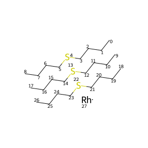 CCCCSCCCC.CCCCSCCCC.CCCCSCCCC.[Rh]